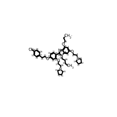 [CH2]CCOc1cc(OCCN2CCCC2)cc2c1nc(-c1ccc(OCCc3ccc(Cl)cc3)cc1OCCN1CCCC1)n2CCCC